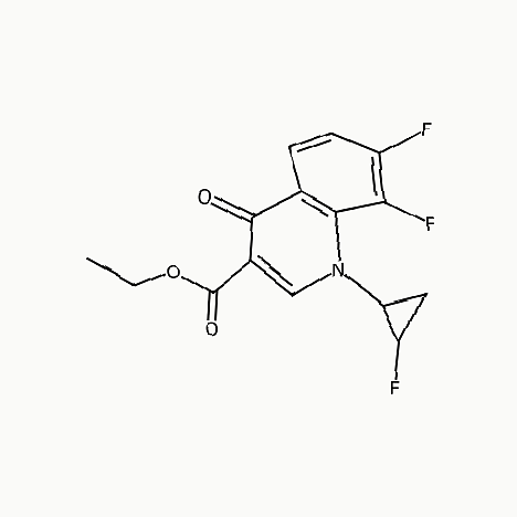 CCOC(=O)c1cn(C2CC2F)c2c(F)c(F)ccc2c1=O